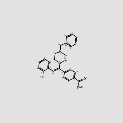 COC(=O)c1ccc(/C(=N/c2ccccc2Cl)N2CCN(Cc3ccccc3)CC2)cc1